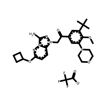 COc1c(N2CCOCC2)cc(C(=O)C[n+]2nc(N)n3nc(OC4CCC4)ccc32)cc1C(C)(C)C.O=C([O-])C(F)(F)F